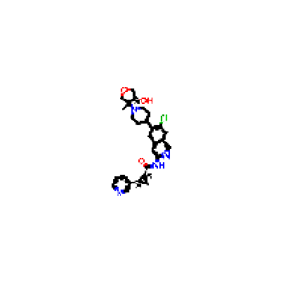 C[C@@]1(N2CCC(c3cc4cc(NC(=O)[C@@H]5C[C@H]5c5cccnc5)ncc4cc3Cl)CC2)COC[C@@H]1O